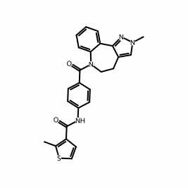 Cc1sccc1C(=O)Nc1ccc(C(=O)N2CCc3cn(C)nc3-c3ccccc32)cc1